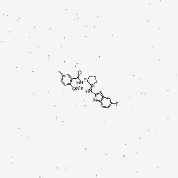 COc1ccc(C)cc1C(=O)N[C@@H]1CCC[C@H]1Nc1nc2ccc(F)cc2s1